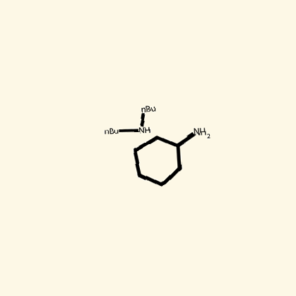 CCCCNCCCC.NC1CCCCC1